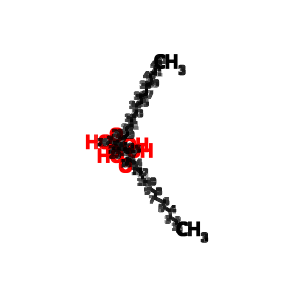 CCCCCCCCCCCCCCCC(=O)C(O)C(O)C(O)(C(=O)CO)C(=O)CCCCCCCCCCCCCCC